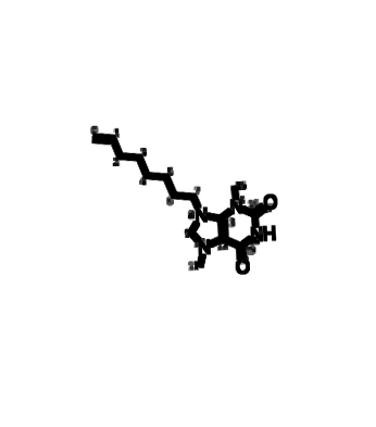 C=CCCCCCCN1CN(C)c2c1n(C)c(=O)[nH]c2=O